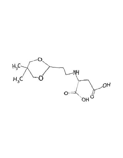 CC1(C)COC(CCNC(CC(=O)O)C(=O)O)OC1